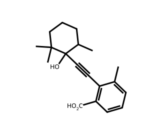 Cc1cccc(C(=O)O)c1C#CC1(O)C(C)CCCC1(C)C